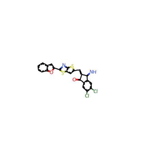 N=C1/C(=C/c2cc3sc(-c4cc5ccccc5o4)nc3s2)C(=O)c2cc(Cl)c(Cl)cc21